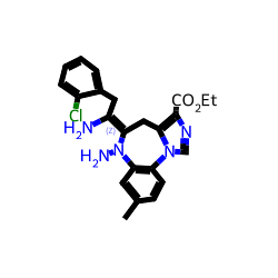 CCOC(=O)c1ncn2c1C/C(=C(/N)Cc1ccccc1Cl)N(N)c1cc(C)ccc1-2